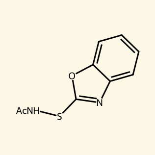 CC(=O)NSc1nc2ccccc2o1